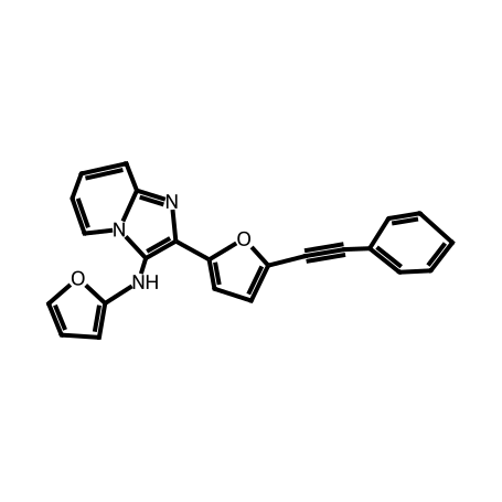 C(#Cc1ccc(-c2nc3ccccn3c2Nc2ccco2)o1)c1ccccc1